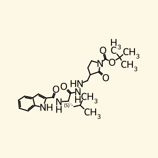 CC(C)C[C@H](NC(=O)c1cc2ccccc2[nH]1)C(=O)NNCC1CCN(C(=O)OC(C)(C)C)C1=O